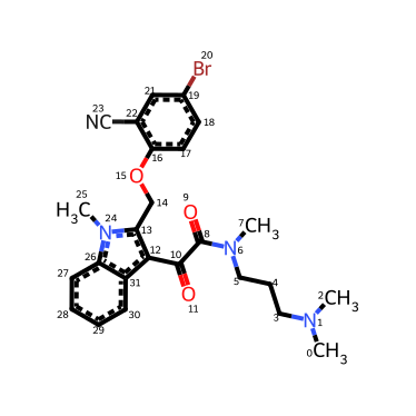 CN(C)CCCN(C)C(=O)C(=O)c1c(COc2ccc(Br)cc2C#N)n(C)c2ccccc12